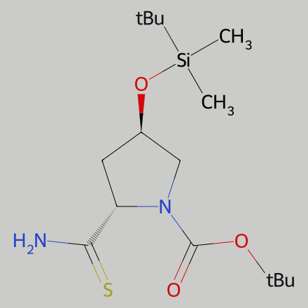 CC(C)(C)OC(=O)N1C[C@H](O[Si](C)(C)C(C)(C)C)C[C@H]1C(N)=S